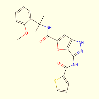 COc1ccccc1C(C)(C)NC(=O)c1cc2[nH]nc(NC(=O)c3cccs3)c2o1